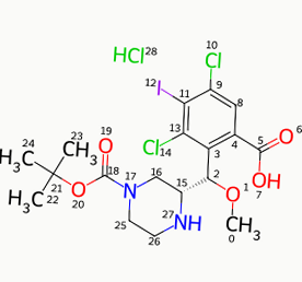 COC(c1c(C(=O)O)cc(Cl)c(I)c1Cl)[C@H]1CN(C(=O)OC(C)(C)C)CCN1.Cl